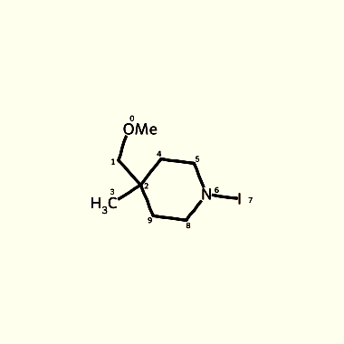 COCC1(C)CCN(I)CC1